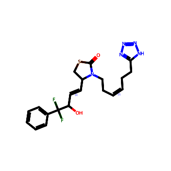 O=C1SCC(/C=C/C(O)C(F)(F)c2ccccc2)N1CC/C=C\CCc1nnn[nH]1